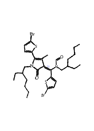 CCCCC(CC)CN1C(=O)/C(=C(\c2ccc(Br)s2)N(C=O)CC(CC)CCCC)C(C)=C1c1ccc(Br)s1